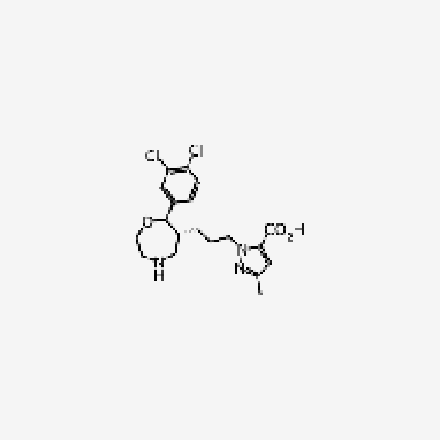 Cc1cc(C(=O)O)n(CCC[C@@H]2CNCCO[C@H]2c2ccc(Cl)c(Cl)c2)n1